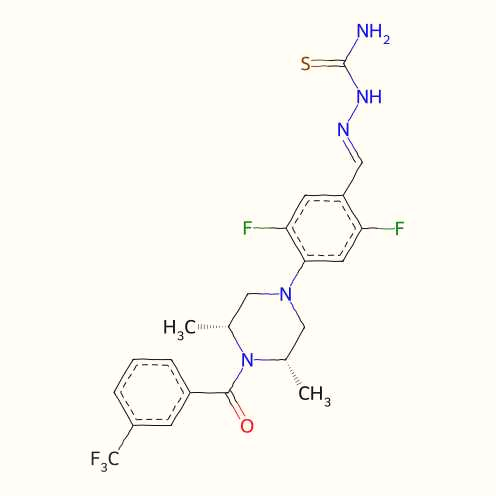 C[C@@H]1CN(c2cc(F)c(C=NNC(N)=S)cc2F)C[C@H](C)N1C(=O)c1cccc(C(F)(F)F)c1